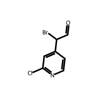 O=CC(Br)c1ccnc(Cl)c1